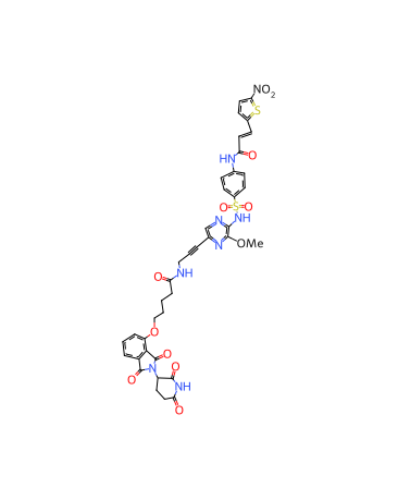 COc1nc(C#CCNC(=O)CCCCOc2cccc3c2C(=O)N(C2CCC(=O)NC2=O)C3=O)cnc1NS(=O)(=O)c1ccc(NC(=O)/C=C/c2ccc([N+](=O)[O-])s2)cc1